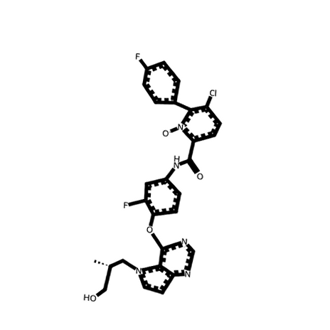 C[C@@H](CO)Cn1ccc2ncnc(Oc3ccc(NC(=O)c4ccc(Cl)c(-c5ccc(F)cc5)[n+]4[O-])cc3F)c21